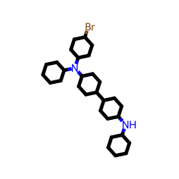 BrC1CCC(N(C2CCCCC2)C2CCC(C3CCC(NC4CCCCC4)CC3)CC2)CC1